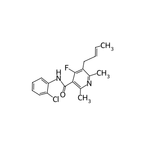 C/C=C/Cc1c(C)nc(C)c(C(=O)Nc2ccccc2Cl)c1F